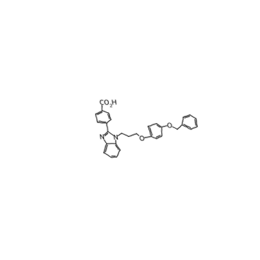 O=C(O)c1ccc(-c2nc3ccccc3n2CCCOc2ccc(OCc3ccccc3)cc2)cc1